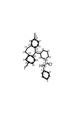 [O-][S+](Nc1ccccc1)N1CCCC(C2c3ccc(F)cc3CCc3cc(F)ccc32)C1